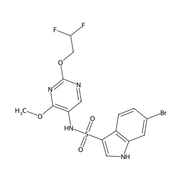 COc1nc(OCC(F)F)ncc1NS(=O)(=O)c1c[nH]c2cc(Br)ccc12